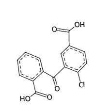 O=C(O)c1ccc(Cl)c(C(=O)c2ccccc2C(=O)O)c1